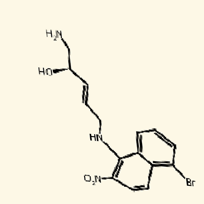 NC[C@H](O)/C=C/CNc1c([N+](=O)[O-])ccc2c(Br)cccc12